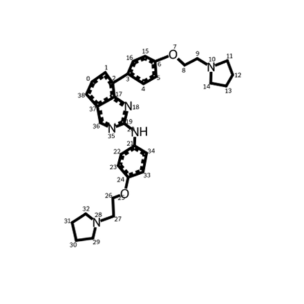 c1cc(-c2ccc(OCCN3CCCC3)cc2)c2nc(Nc3ccc(OCCN4CCCC4)cc3)ncc2c1